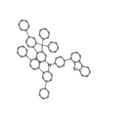 c1ccc(-c2ccc(-c3cc(-c4ccccc4)ccc3N(c3ccc(-c4cccc5c4sc4ccccc45)cc3)c3ccc4c(c3)C(c3ccccc3)(c3ccccc3)c3cc(-c5ccccc5)ccc3-4)cc2)cc1